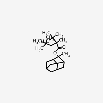 CC(C)(C)CC(C)(C(=O)OC1(C)C2CC3CC(C2)CC1C3)C(C)(C)C